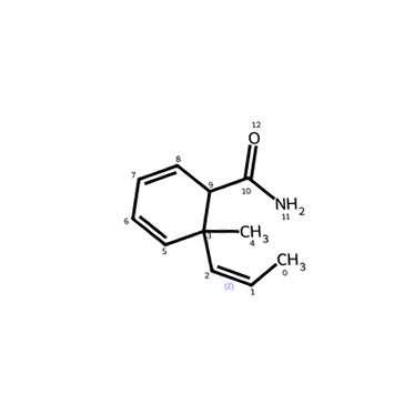 C/C=C\C1(C)C=CC=CC1C(N)=O